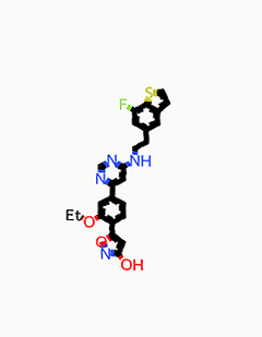 CCOc1cc(-c2cc(NCCc3cc(F)c4sccc4c3)ncn2)ccc1-c1cc(O)no1